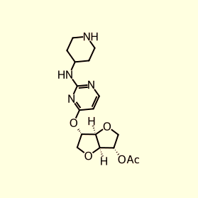 CC(=O)O[C@H]1CO[C@H]2[C@@H]1OC[C@@H]2Oc1ccnc(NC2CCNCC2)n1